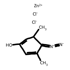 CC1=CC(O)=CC(C)C1=[N+]=[N-].[Cl-].[Cl-].[Zn+2]